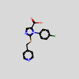 O=C(O)c1cnc(SCc2ccncc2)n1-c1ccc(F)cc1